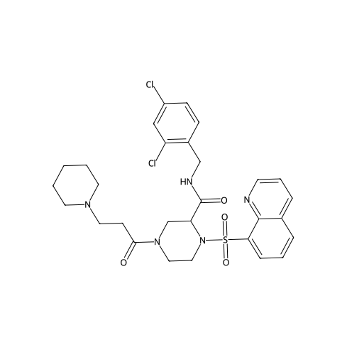 O=C(NCc1ccc(Cl)cc1Cl)C1CN(C(=O)CCN2CCCCC2)CCN1S(=O)(=O)c1cccc2cccnc12